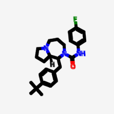 CC(C)(C)c1ccc(CC2[C@@H]3CCCN3CCCN2C(=O)Nc2ccc(F)cc2)cc1